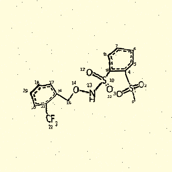 CS(=O)(=O)c1ccccc1S(=O)(=O)NOCc1ccccc1C(F)(F)F